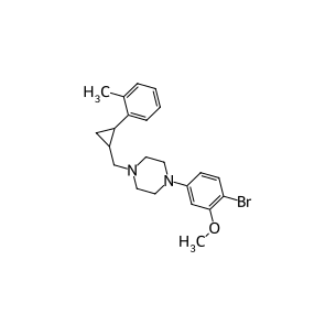 COc1cc(N2CCN(CC3CC3c3ccccc3C)CC2)ccc1Br